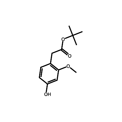 COc1cc(O)ccc1CC(=O)OC(C)(C)C